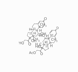 CC(=O)OCC(=O)[C@@]1(O)CC[C@H]2[C@@H]3CCC4=CC(=O)C=C[C@]4(C)[C@H]3[C@@H](O)C[C@@]21C.C[C@]12C=CC(=O)C=C1CC[C@@H]1[C@@H]2[C@@H](O)C[C@@]2(C)[C@H]1CC[C@]2(O)C(=O)CO